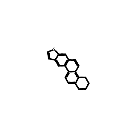 c1cc2cc3c(ccc4c5c(ccc43)CCCC5)cc2s1